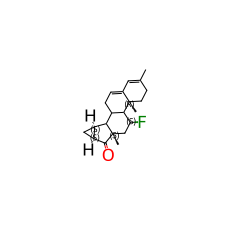 CC1=CC2=CCC3C([C@@H](F)C[C@]4(C)C(=O)[C@H]5C[C@H]5C34)[C@@]2(C)CC1